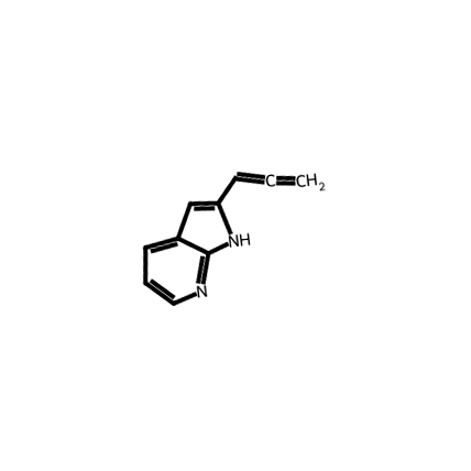 C=C=Cc1cc2cccnc2[nH]1